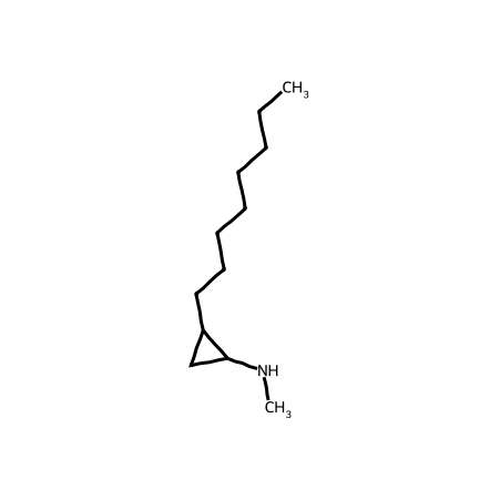 CCCCCCCCC1CC1NC